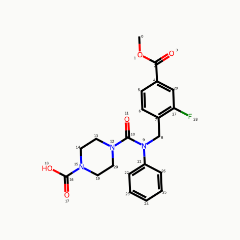 COC(=O)c1ccc(CN(C(=O)N2CCN(C(=O)O)CC2)c2ccccc2)c(F)c1